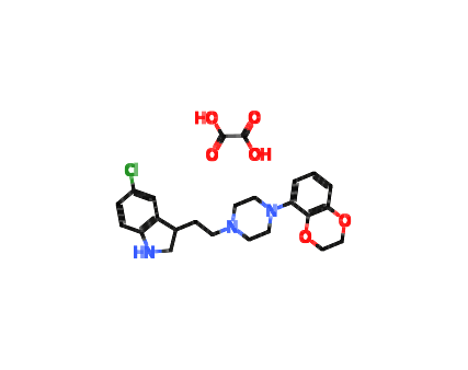 Clc1ccc2c(c1)C(CCN1CCN(c3cccc4c3OCCO4)CC1)CN2.O=C(O)C(=O)O